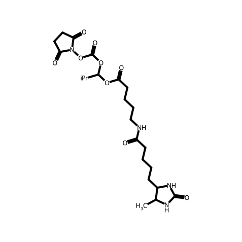 CC(C)C(OC(=O)CCCCNC(=O)CCCCC1NC(=O)NC1C)OC(=O)ON1C(=O)CCC1=O